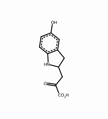 O=C(O)C(=O)CC1Cc2cc(O)ccc2N1